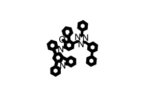 c1ccc(-c2cccc(-c3nc(-c4ccccc4)nc(-c4ccc(-n5c6ccccc6c6cc7c8ccccc8n8c9ccccc9c(c65)c78)c5oc6ccccc6c45)n3)c2)cc1